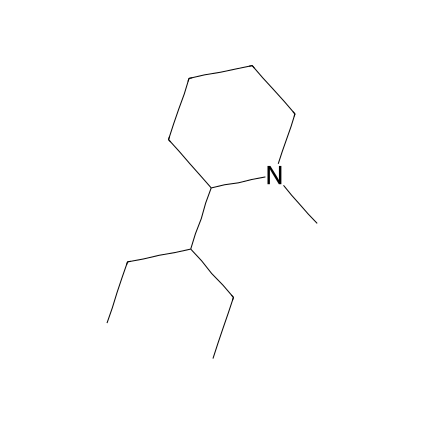 CCC(CC)C1CCCCN1C